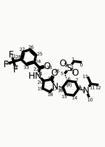 CCS(=O)(=O)C[C@@H]1C[C@H](N(C)C(C)C)CC[C@@H]1N1CCC(NC(=O)c2cccc(C(F)(F)F)c2)C1=O